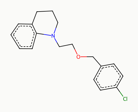 Clc1ccc(COCCN2CCCc3ccccc32)cc1